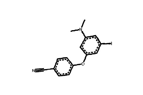 CN(C)c1cc(I)cc(Oc2ccc(C#N)cc2)c1